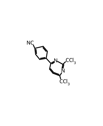 N#Cc1ccc(C2=NC(C(Cl)(Cl)Cl)=NC(C(Cl)(Cl)Cl)=C=C2)cc1